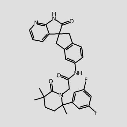 CC1(C)CCC(C)(c2cc(F)cc(F)c2)N(CC(=O)Nc2ccc3c(c2)CC2(C3)C(=O)Nc3ncccc32)C1=O